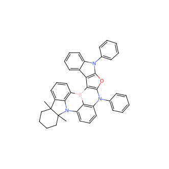 CC12CCCCC1(C)N1c3cccc4c3B(c3cccc2c31)c1c(oc2c1c1ccccc1n2-c1ccccc1)N4c1ccccc1